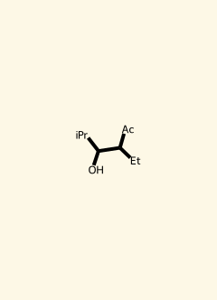 CCC(C(C)=O)C(O)C(C)C